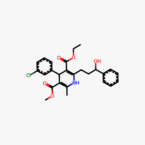 CCOC(=O)C1=C(CCC(O)c2ccccc2)NC(C)=C(C(=O)OC)C1c1cccc(Cl)c1